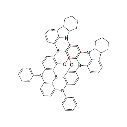 c1ccc(N2c3cccc4c3B(c3c2ccc2c3Oc3cccc5c3B2c2cccc3c2N5C2CCCCC32)c2c(ccc3c2Oc2cccc5c2B3c2cccc3c2N5C2CCCCC32)N4c2ccccc2)cc1